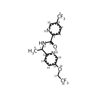 CC(NC(=O)c1ccc(C(F)(F)F)cn1)c1ccc(OCC(F)(F)F)cn1